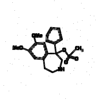 COc1cc2c(cc1OC)C(OS(C)(=O)=O)(c1ccccc1)CNCC2